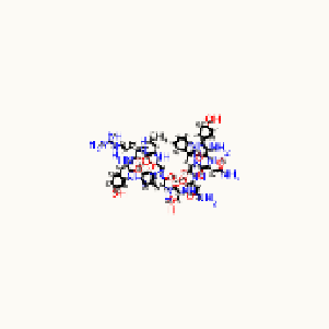 CC(C)C[C@H](NC(=O)CNC(=O)[C@H](Cc1ccccc1)NC(=O)[C@H](CO)NC(=O)[C@H](CC(N)=O)NC(=O)[C@H](Cc1c[nH]c2ccccc12)NC(=O)[C@H](CC(N)=O)NC(=O)[C@@H](N)Cc1ccc(O)cc1)C(=O)N[C@@H](CCCNC(=N)N)C(=O)N[C@@H](Cc1ccc(O)cc1)C(N)=O